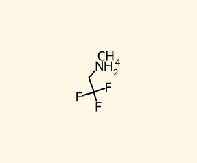 C.NCC(F)(F)F